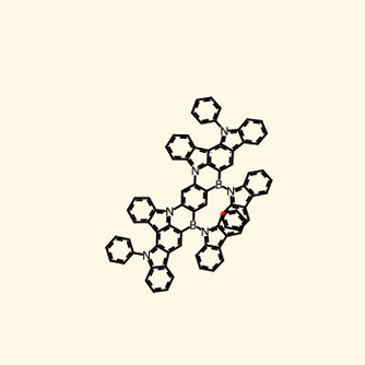 c1ccc(-n2c3ccccc3c3cc4c5c(c6ccccc6n5-c5cc6c(cc5B4n4c5ccccc5c5ccccc54)B(n4c5ccccc5c5ccccc54)c4cc5c7ccccc7n(-c7ccccc7)c5c5c7ccccc7n-6c45)c32)cc1